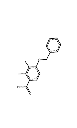 Cc1c(OCc2ccccc2)ccc(C(=O)Cl)c1C